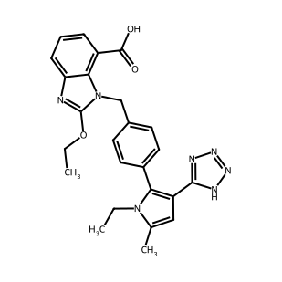 CCOc1nc2cccc(C(=O)O)c2n1Cc1ccc(-c2c(-c3nnn[nH]3)cc(C)n2CC)cc1